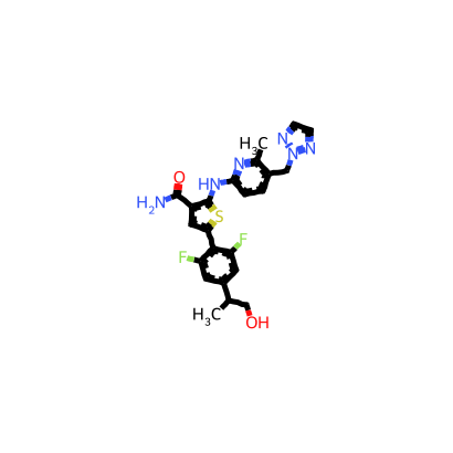 Cc1nc(Nc2sc(-c3c(F)cc(C(C)CO)cc3F)cc2C(N)=O)ccc1Cn1nccn1